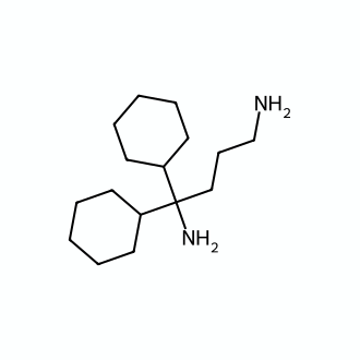 NCCCC(N)(C1CCCCC1)C1CCCCC1